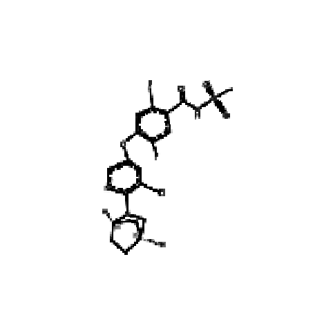 CS(=O)(=O)NC(=O)c1cc(F)c(Oc2cnc(N3C[C@H]4CC[C@@H]3C4)c(Cl)c2)cc1F